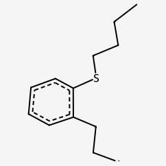 [CH2]CCc1ccccc1SCCCC